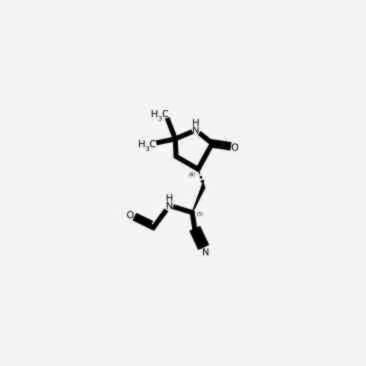 CC1(C)C[C@@H](C[C@@H](C#N)NC=O)C(=O)N1